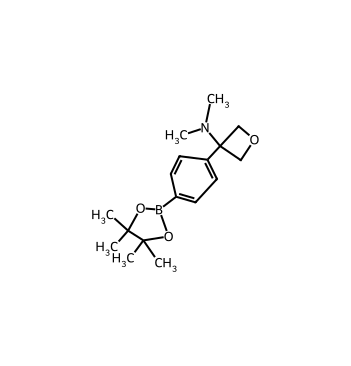 CN(C)C1(c2ccc(B3OC(C)(C)C(C)(C)O3)cc2)COC1